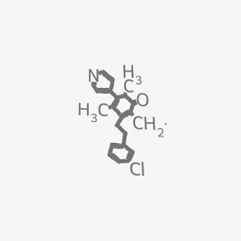 [CH2]C1=C(CCc2cccc(Cl)c2)C(C)=C(c2ccncc2)C(C)C1=O